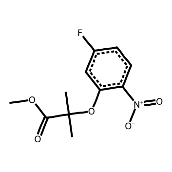 COC(=O)C(C)(C)Oc1cc(F)ccc1[N+](=O)[O-]